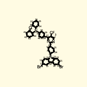 FC(F)(F)c1cnc(-c2ccc(-n3c4ccc(Br)cc4c4cc(Br)ccc43)cc2)nc1-c1ccc(N2c3ccccc3Oc3ccccc32)cc1